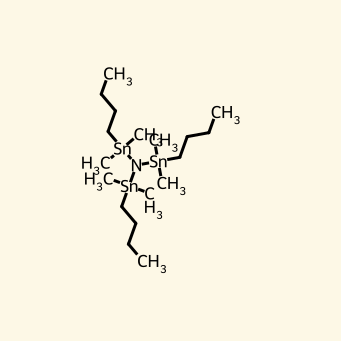 CCC[CH2][Sn]([CH3])([CH3])[N]([Sn]([CH3])([CH3])[CH2]CCC)[Sn]([CH3])([CH3])[CH2]CCC